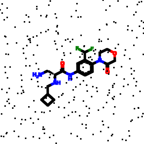 NC[C@@H](NCC1CCC1)C(=O)Nc1ccc(N2CCOCC2=O)c(C(F)F)c1